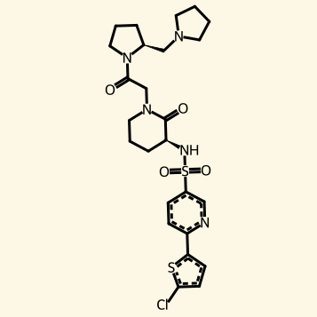 O=C1[C@@H](NS(=O)(=O)c2ccc(-c3ccc(Cl)s3)nc2)CCCN1CC(=O)N1CCC[C@H]1CN1CCCC1